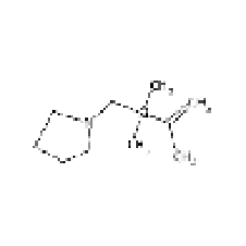 C=C(C)[Si](C)(C)CN1CCCC1